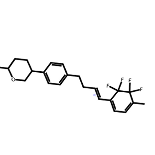 CC1=CC=C(/C=C/CCc2ccc(C3CCC(C)OC3)cc2)C(F)(F)C1(F)F